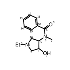 CCN1CC(O)C(N(C)C(=O)c2ccccc2)C1